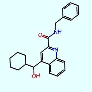 O=C(NCc1ccccc1)c1cc(C(O)C2CCCCC2)c2ccccc2n1